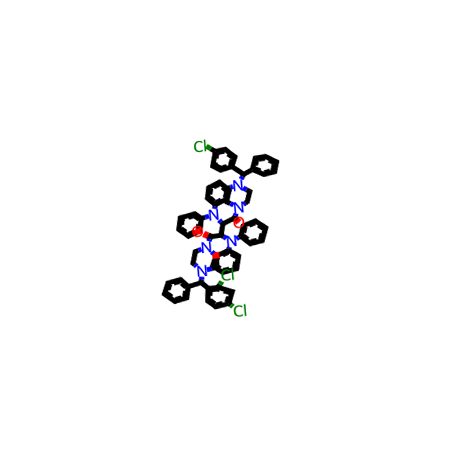 O=C(C(C(C(=O)N1CCN(C(c2ccccc2)c2ccc(Cl)cc2Cl)CC1)N(c1ccccc1)c1ccccc1)N(c1ccccc1)c1ccccc1)N1CCN(C(c2ccccc2)c2ccc(Cl)cc2)CC1